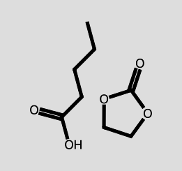 CCCCC(=O)O.O=C1OCCO1